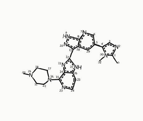 Cc1ncc(-c2cnc3[nH]nc(-c4nc5c(N6CCN(C)CC6)nccc5[nH]4)c3c2)n1C